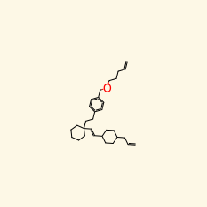 C=CCCCOCc1ccc(CCC2(/C=C/C3CCC(CC=C)CC3)CCCCC2)cc1